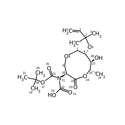 C=CC(C)(C)O[C@H]1COC[C@H](N(C(=O)O)C(=O)OC(C)(C)C)C(=O)O[C@@H](C)[C@@H]1O